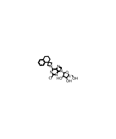 OC[C@H]1O[C@@H](n2cnc3c(N4CC5(CCCc6ccccc65)C4)nc(Cl)nc32)[C@H](O)[C@@H]1O